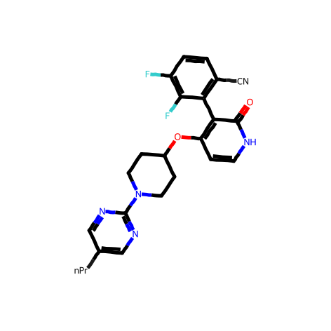 CCCc1cnc(N2CCC(Oc3cc[nH]c(=O)c3-c3c(C#N)ccc(F)c3F)CC2)nc1